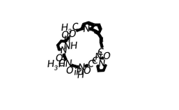 CC(C)[C@@H]1NC(=O)CCN(C(=O)N2CCCC2)CC/C=C/c2ccc3ccc(nc3c2)[C@@H](C)OC(=O)[C@@H]2CCCN(N2)C(=O)[C@H](C)NC1=O